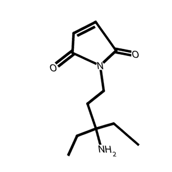 CCC(N)(CC)CCN1C(=O)C=CC1=O